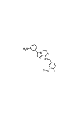 CCOc1cc(CNc2nccn3c(-c4cccc(N)c4)cnc23)ccc1C